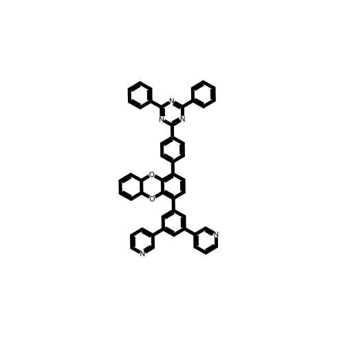 C1=CC2Oc3c(-c4ccc(-c5nc(-c6ccccc6)nc(-c6ccccc6)n5)cc4)ccc(-c4cc(-c5cccnc5)cc(-c5cccnc5)c4)c3OC2C=C1